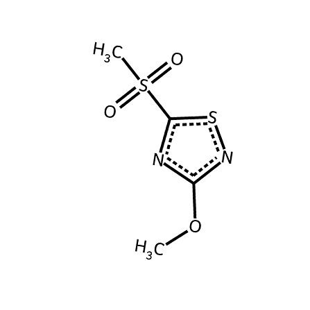 COc1nsc(S(C)(=O)=O)n1